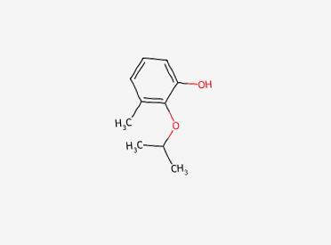 Cc1cccc(O)c1OC(C)C